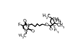 CCn1cc(F)c(=O)n(CCCCCCOC(=O)C(C)(CC(C)C)C(C)C)c1=O